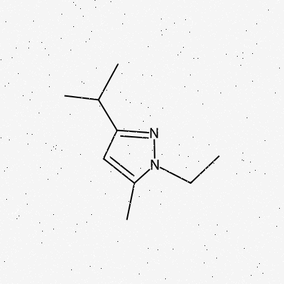 CCn1nc(C(C)C)cc1C